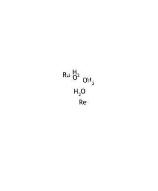 O.O.O.[Re].[Ru]